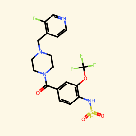 O=C(c1ccc(N[SH](=O)=O)c(OC(F)(F)F)c1)N1CCN(Cc2ccncc2F)CC1